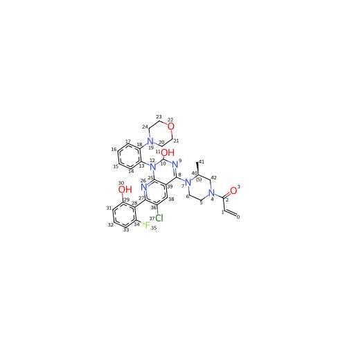 C=CC(=O)N1CCN(C2=NC(O)N(c3ccccc3N3CCOCC3)c3nc(-c4c(O)cccc4F)c(Cl)cc32)[C@@H](C)C1